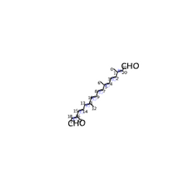 CC(/C=C/C=C(C)/C=C/C=C/C(C)=C/C=C/C(C)=C/C=O)=C\C=O